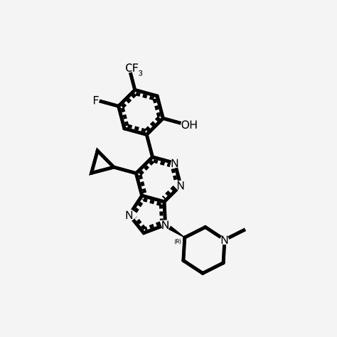 CN1CCC[C@@H](n2cnc3c(C4CC4)c(-c4cc(F)c(C(F)(F)F)cc4O)nnc32)C1